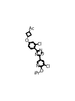 CC(=O)[C@H]1C[C@H](Oc2ccc(-c3noc(-c4cnc(OC(C)C)c(Cl)c4)n3)c(Cl)c2)C1